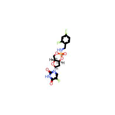 O=c1[nH]c(=O)n([C@H]2C[C@@H]3O[P@@](=O)(NCc4ccc(F)cc4F)OC[C@H]3O2)cc1F